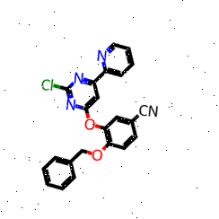 N#Cc1ccc(OCc2ccccc2)c(Oc2cc(-c3ccccn3)nc(Cl)n2)c1